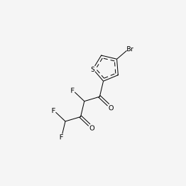 O=C(c1cc(Br)cs1)C(F)C(=O)C(F)F